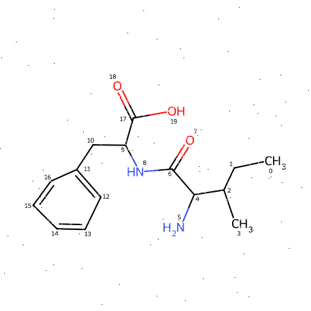 CCC(C)C(N)C(=O)NC(Cc1ccccc1)C(=O)O